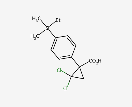 CC[Si](C)(C)c1ccc(C2(C(=O)O)CC2(Cl)Cl)cc1